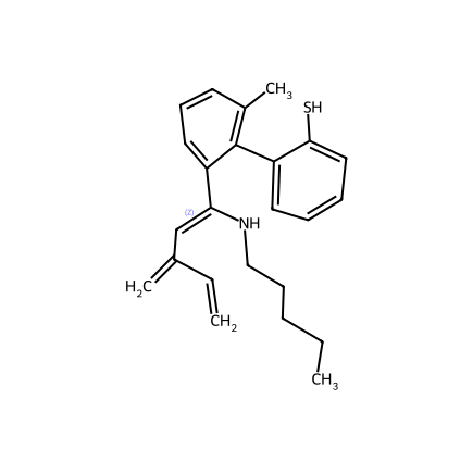 C=CC(=C)/C=C(\NCCCCC)c1cccc(C)c1-c1ccccc1S